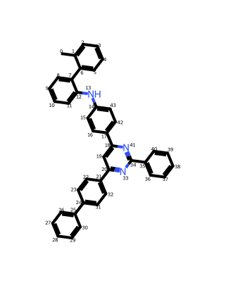 Cc1ccccc1-c1ccccc1Nc1ccc(-c2cc(-c3ccc(-c4ccccc4)cc3)nc(-c3ccccc3)n2)cc1